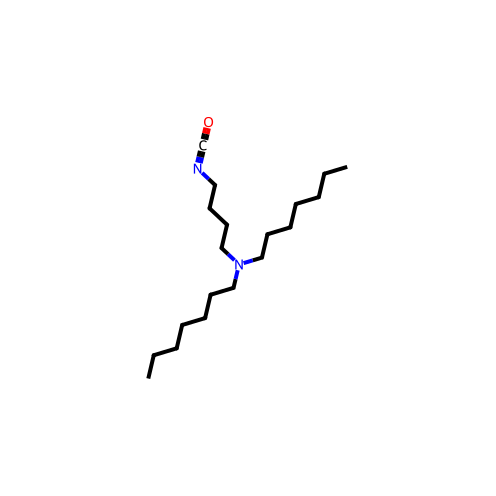 CCCCCCCN(CCCCCCC)CCCCN=C=O